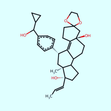 CC=C[C@]1(O)CCC2C3CC[C@@]4(O)CC5(CCC4=C3[C@@H](c3ccc(C(O)C4CC4)cc3)C[C@@]21C)OCCO5